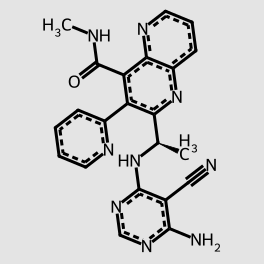 CNC(=O)c1c(-c2ccccn2)c([C@@H](C)Nc2ncnc(N)c2C#N)nc2cccnc12